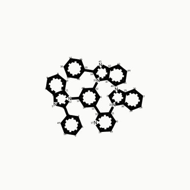 c1ccc(-c2nc3ccccc3n2-c2cc(-c3ncccc3-n3cnc4ccccc43)cc(-n3c(-c4ccccc4)nc4ccccc43)c2)cc1